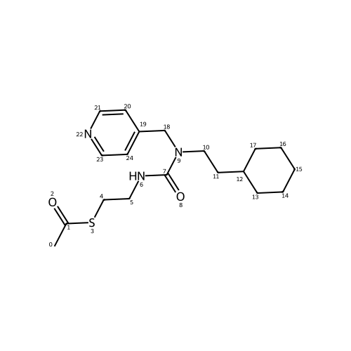 CC(=O)SCCNC(=O)N(CCC1CCCCC1)Cc1ccncc1